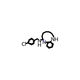 Clc1ccc(CN/C2=N/c3ccccc3NCCCCCC2)cc1